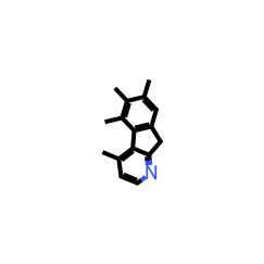 Cc1cc2c(c(C)c1C)-c1c(C)ccnc1C2